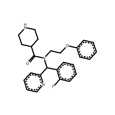 O=C(C1CCNCC1)N(CCOc1ccccc1)C(c1ccccn1)c1ccccc1F